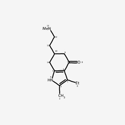 CCc1c(C)[nH]c2c1C(=O)CC(CCNC)C2